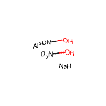 O=NO.O=[N+]([O-])O.[Al+3].[NaH]